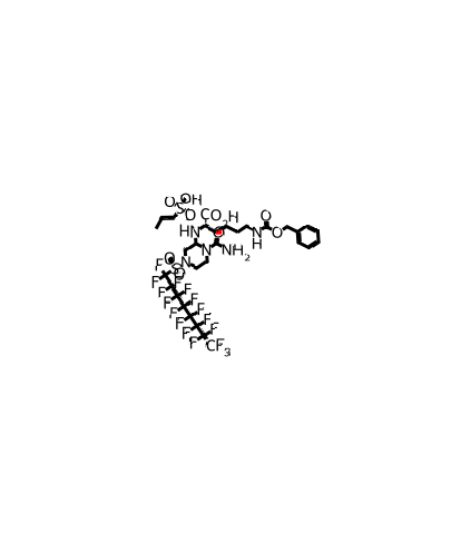 CCCS(=O)(=O)O.NC(=O)N1CCN(S(=O)(=O)C(F)(F)C(F)(F)C(F)(F)C(F)(F)C(F)(F)C(F)(F)C(F)(F)C(F)(F)F)CC1N[C@@H](CCCCNC(=O)OCc1ccccc1)C(=O)O